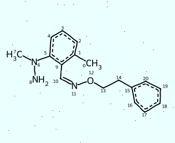 Cc1cccc(N(C)N)c1/C=N\OCCc1ccccc1